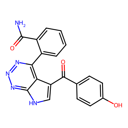 NC(=O)c1ccccc1-c1nnnc2[nH]cc(C(=O)c3ccc(O)cc3)c12